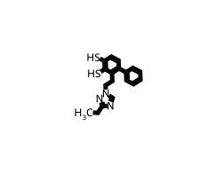 CCc1ncn(CCc2c(-c3ccccc3)ccc(S)c2S)n1